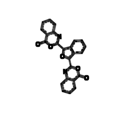 O=c1oc(-c2oc(-c3nc4ccccc4c(=O)o3)c3ccccc23)nc2ccccc12